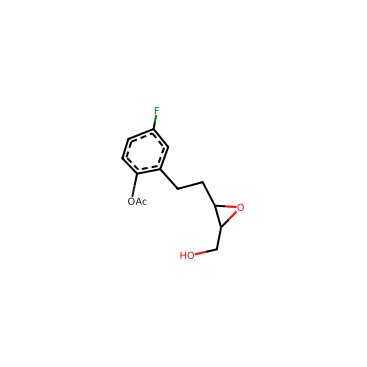 CC(=O)Oc1ccc(F)cc1CCC1OC1CO